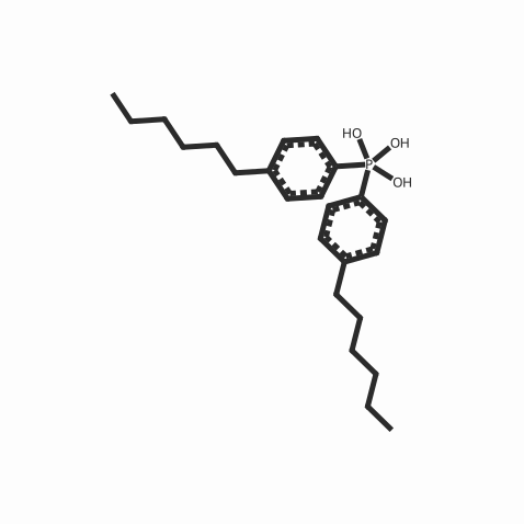 CCCCCCc1ccc(P(O)(O)(O)c2ccc(CCCCCC)cc2)cc1